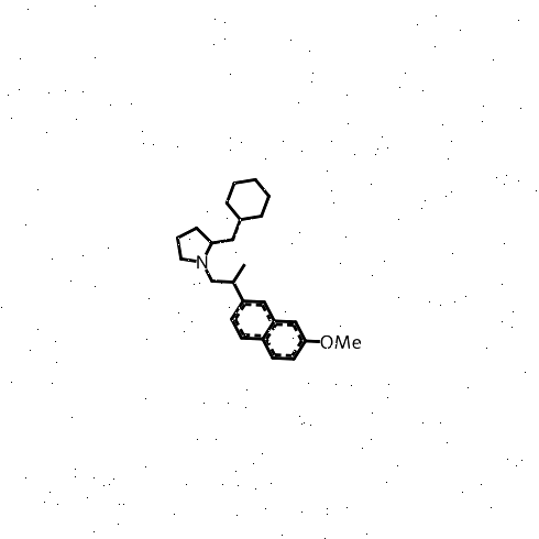 COc1ccc2ccc(C(C)CN3CCCC3CC3CCCCC3)cc2c1